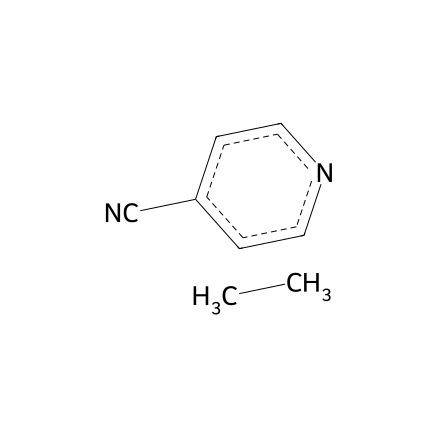 CC.N#Cc1ccncc1